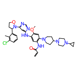 C=CC(=O)Nc1cc(Nc2cc(N3OCCC3c3cccc(Cl)c3C)ncn2)c(OC)cc1N1CCC(N2CCN(C3CC3)CC2)CC1